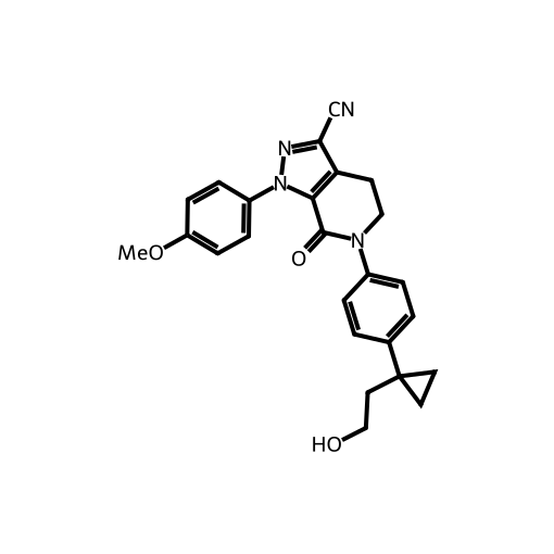 COc1ccc(-n2nc(C#N)c3c2C(=O)N(c2ccc(C4(CCO)CC4)cc2)CC3)cc1